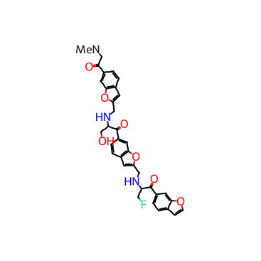 CNCC(=O)c1ccc2cc(CNC(CO)C(=O)c3ccc4cc(CNC(CF)C(=O)c5ccc6ccoc6c5)oc4c3)oc2c1